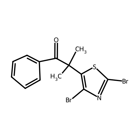 CC(C)(C(=O)c1ccccc1)c1sc(Br)nc1Br